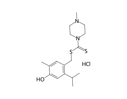 Cc1cc(CSC(=S)N2CCN(C)CC2)c(C(C)C)cc1O.Cl